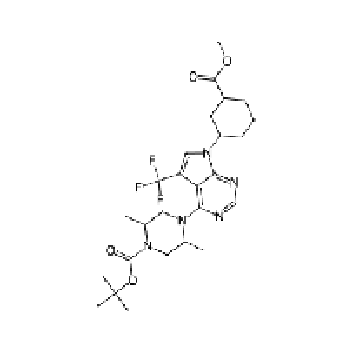 COC(=O)C1CCCC(n2cc(C(F)(F)F)c3c(N4CC(C)N(C(=O)OC(C)(C)C)CC4C)ncnc32)C1